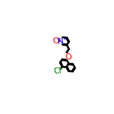 [O-][n+]1cccc(CCOc2ccc(Cl)c3ccccc23)c1